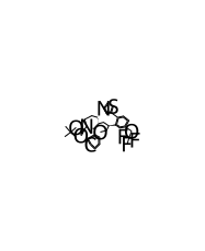 CC(C)(C)OC(=O)N1CCC[C@@]2(C[C@@H](c3cc(OC(F)(F)F)ccc3-c3cncs3)CO2)[C@@H]1c1ccccc1